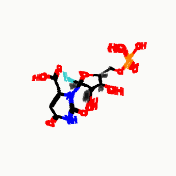 O=C(O)c1cc(=O)[nH]c(=O)n1[C@]1(F)O[C@H](COP(=O)(O)O)[C@@H](O)[C@H]1O